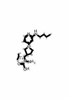 CCCCNc1cc(N2CCC([C@@H]([C](C)C)N(N)C(=O)O)C2)ccn1